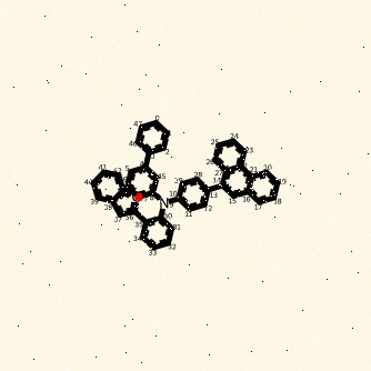 c1ccc(-c2cccc(N(c3ccc(-c4cc5ccccc5c5ccccc45)cc3)c3ccccc3-c3cc4ccccc4o3)c2)cc1